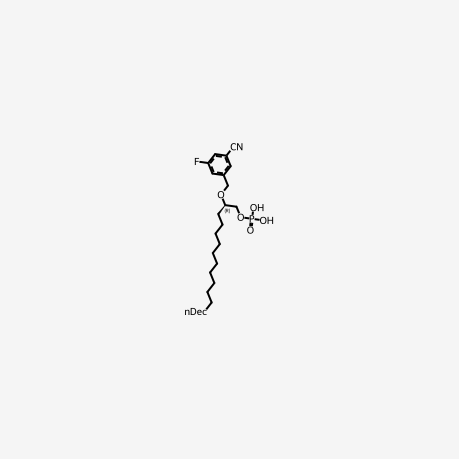 CCCCCCCCCCCCCCCCCCCC[C@H](COP(=O)(O)O)OCc1cc(F)cc(C#N)c1